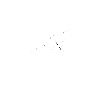 C=BN=N[C@](CC=C)(C(=O)O)[C@H](C)CC